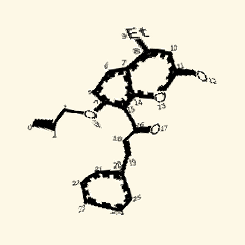 C=CCOc1ccc2c(CC)cc(=O)oc2c1C(=O)C=Cc1ccccc1